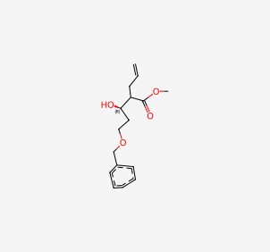 C=CCC(C(=O)OC)[C@H](O)CCOCc1ccccc1